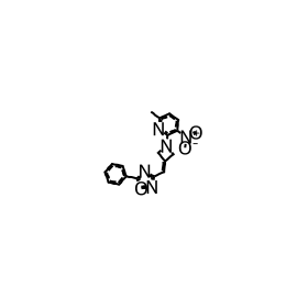 Cc1ccc([N+](=O)[O-])c(N2CC(=Cc3noc(-c4ccccc4)n3)C2)n1